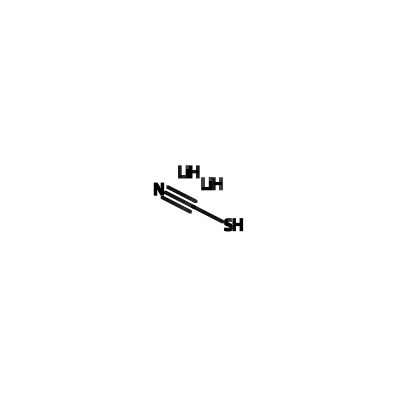 N#CS.[LiH].[LiH]